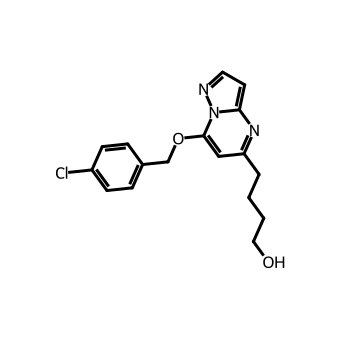 OCCCCc1cc(OCc2ccc(Cl)cc2)n2nccc2n1